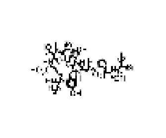 CC[C@H](C)[C@H](N)C(=O)N[C@@H](CO)C(=O)N1CCC[C@H]1C(=O)NCC(=O)N[C@@H](Cc1ccc(O)cc1)C(=O)N[C@@H](CO)C(=O)N[C@H](C(=O)N[C@H](C(=O)N[C@@H](CCCNC(=N)N)C(=O)O)[C@@H](C)O)C(C)C